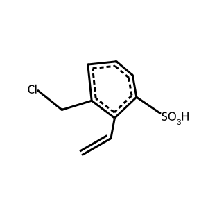 C=Cc1c(CCl)cccc1S(=O)(=O)O